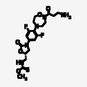 COC(=S)NC[C@H]1CN(c2cc(F)c(N3CCON(C(=O)CCN)CC3)c(F)c2)C(=O)O1